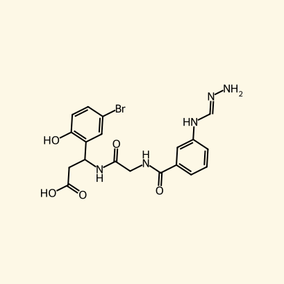 NN=CNc1cccc(C(=O)NCC(=O)NC(CC(=O)O)c2cc(Br)ccc2O)c1